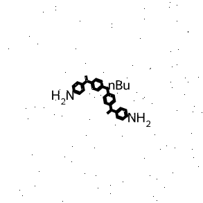 CCCCC(c1ccc(C(C)c2ccc(N)cc2)cc1)c1ccc(C(C)c2ccc(N)cc2)cc1